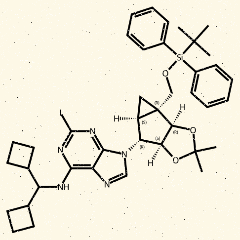 CC1(C)O[C@H]2[C@H](n3cnc4c(NC(C5CCC5)C5CCC5)nc(I)nc43)[C@H]3C[C@@]3(CO[Si](c3ccccc3)(c3ccccc3)C(C)(C)C)[C@H]2O1